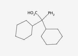 O=C(O)C(P)(C1CCCCC1)C1CCCCC1